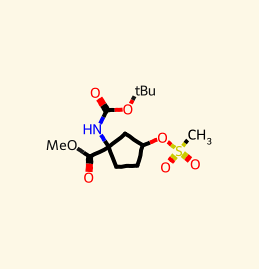 COC(=O)C1(NC(=O)OC(C)(C)C)CCC(OS(C)(=O)=O)C1